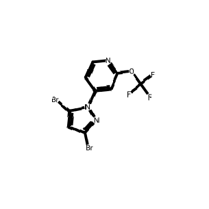 FC(F)(F)Oc1cc(-n2nc(Br)cc2Br)ccn1